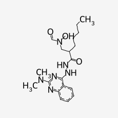 CCCCCC(CN(O)C=O)C(=O)NNc1nc(N(C)C)nc2ccccc12